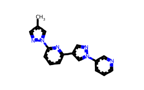 Cc1cnn(-c2cccc(-c3cnn(-c4cccnc4)c3)n2)c1